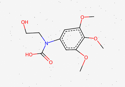 COc1cc(N(CCO)C(=O)O)cc(OC)c1OC